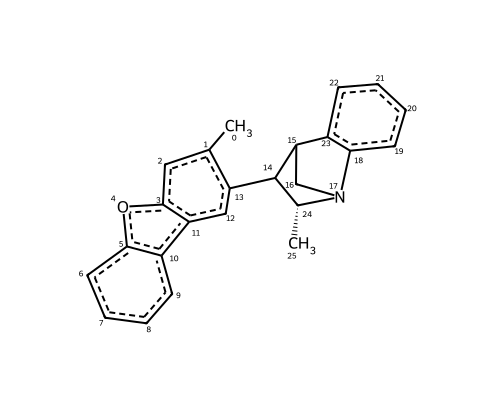 Cc1cc2oc3ccccc3c2cc1C1C2CN(c3ccccc32)[C@@H]1C